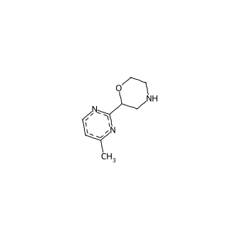 Cc1ccnc(C2CNCCO2)n1